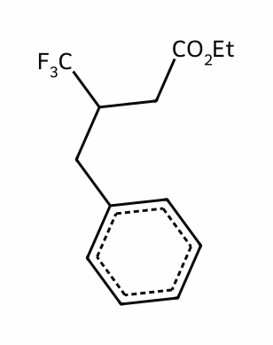 CCOC(=O)CC(Cc1ccccc1)C(F)(F)F